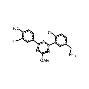 COc1nc(-c2ccc(C(F)(F)F)c(C(C)C)c2)nc(-c2cc(CN)ccc2Cl)n1